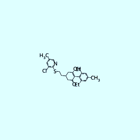 CCc1cc(C)cc(CC)c1C1=C(O)CC(CCSc2ncc(C)cc2Cl)CC1=O